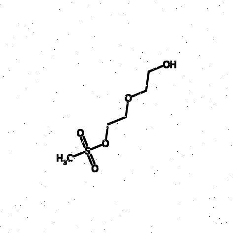 CS(=O)(=O)OCCOCCO